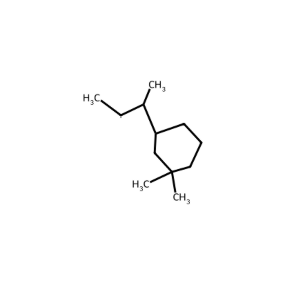 C[CH]C(C)C1CCCC(C)(C)C1